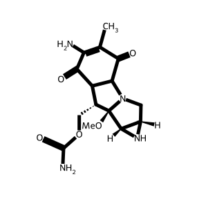 CO[C@@]12[C@H](COC(N)=O)C3C(=O)C(N)=C(C)C(=O)C3N1C[C@@H]1N[C@@H]12